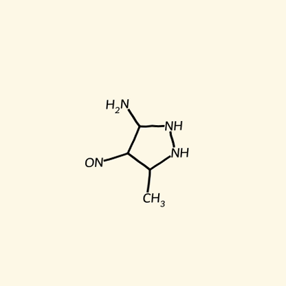 CC1NNC(N)C1N=O